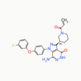 C=CC(=O)N1CCC[C@@H](c2nn(-c3ccc(Oc4cccc(F)c4)cc3)c3c(N)n[nH]c(=O)c23)C1